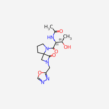 CC(=O)N[C@H](C(=O)N1CCCC12CN(Cc1nnco1)C2=O)[C@@H](C)O